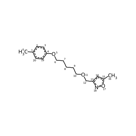 Cc1ccc(OCCCCCOCc2cc(C)on2)cc1